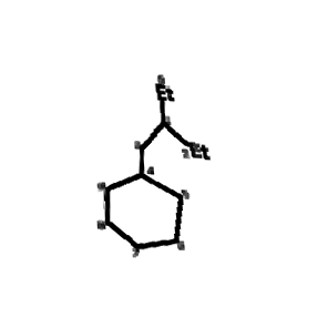 CCC(CC)CC1CCCCC1